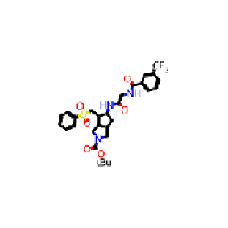 CC(C)(C)OC(=O)N1CC2CC(NC(=O)CNC(=O)c3cccc(C(F)(F)F)c3)C(CS(=O)(=O)c3ccccc3)C2C1